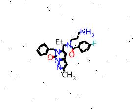 CC[C@H](c1cc2cc(C)nn2c(=O)n1Cc1ccccc1)N(CCCN)C(=O)c1ccc(F)cc1